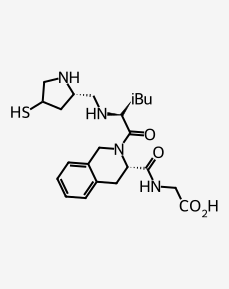 CC[C@H](C)[C@H](NC[C@@H]1CC(S)CN1)C(=O)N1Cc2ccccc2C[C@H]1C(=O)NCC(=O)O